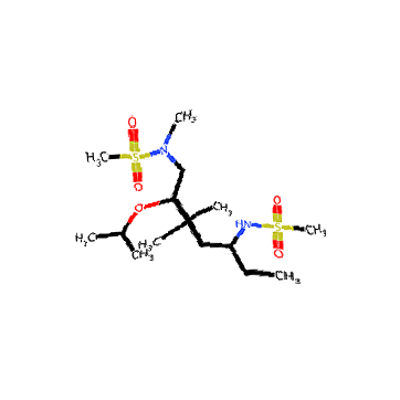 CCC(CC(C)(C)C(CN(C)S(C)(=O)=O)OC(C)C)NS(C)(=O)=O